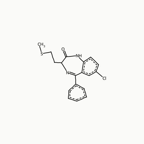 CSCCC1N=C(c2ccccc2)c2cc(Cl)ccc2NC1=O